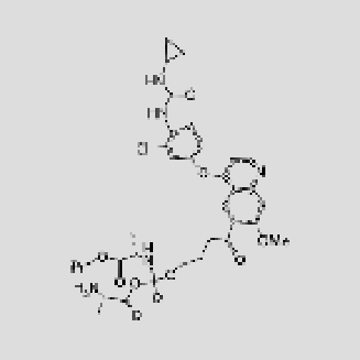 COc1cc2nccc(Oc3ccc(NC(=O)NC4CC4)c(Cl)c3)c2cc1C(=O)CCCOP(=O)(N[C@@H](C)C(=O)OC(C)C)OC(=O)C(C)N